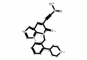 CCN(C#Cc1cc2cncnc2n(Cc2ccccc2C2CCOCC2)c1=O)CC